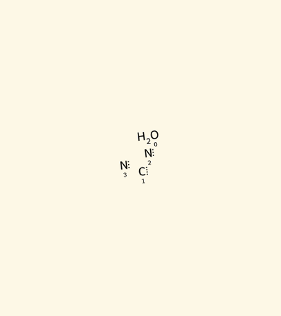 O.[C].[N].[N]